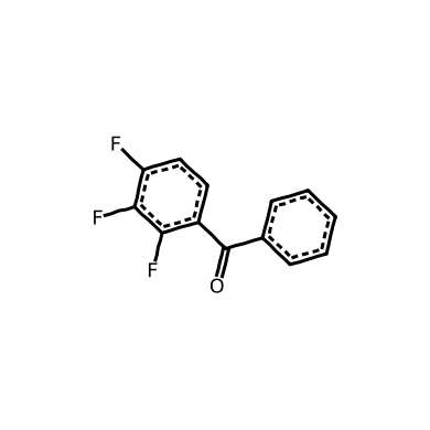 O=C(c1ccccc1)c1ccc(F)c(F)c1F